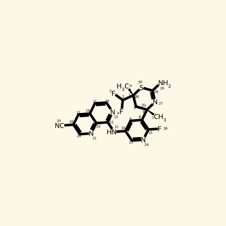 C[C@]1(C(F)F)C[C@@](C)(c2cc(Nc3nccc4cc(C#N)cnc34)cnc2F)N=C(N)S1